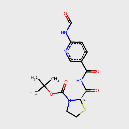 CC(C)(C)OC(=O)N1CCS[C@H]1C(=O)NC(=O)c1ccc(NC=O)nc1